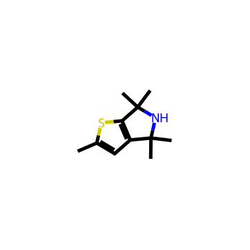 Cc1cc2c(s1)C(C)(C)NC2(C)C